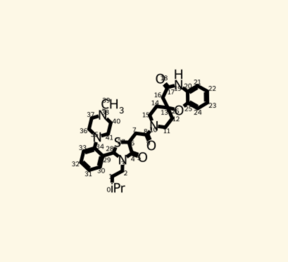 CC(C)CCN1C(=O)C(CC(=O)N2CCC3(CC2)CC(=O)Nc2ccccc2O3)SC1c1ccccc1N1CCN(C)CC1